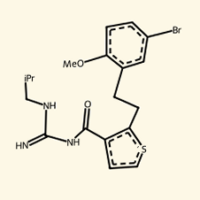 COc1ccc(Br)cc1CCc1sccc1C(=O)NC(=N)NCC(C)C